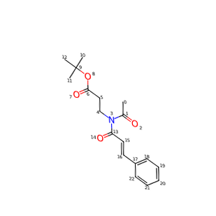 CC(=O)N(CCC(=O)OC(C)(C)C)C(=O)/C=C/c1ccccc1